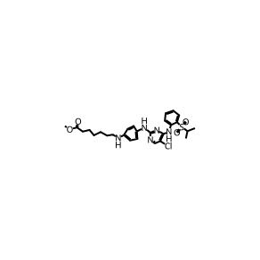 COC(=O)CCCCCCNc1ccc(Nc2ncc(Cl)c(Nc3ccccc3S(=O)(=O)C(C)C)n2)cc1